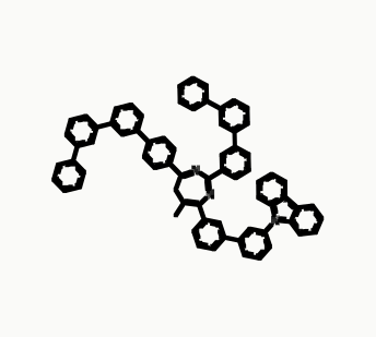 CC1=C(c2cccc(-c3cccc(-n4c5ccccc5c5ccccc54)c3)c2)N=C(c2cccc(-c3cccc(-c4ccccc4)c3)c2)N=C(c2ccc(-c3cccc(-c4cccc(-c5ccccc5)c4)c3)cc2)C1